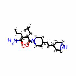 CCC[C@H](C(N)=O)[C@@H](CC(C)C)C(=O)N1CCC(CCC2CCNCC2)CC1